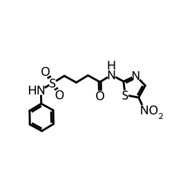 O=C(CCCS(=O)(=O)Nc1ccccc1)Nc1ncc([N+](=O)[O-])s1